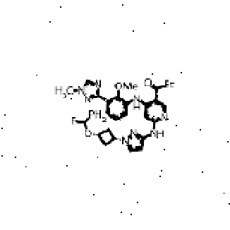 CCC(=O)c1cnc(Nc2ccn([C@H]3C[C@@H](OC(F)P)C3)n2)cc1Nc1cccc(-c2ncn(C)n2)c1OC